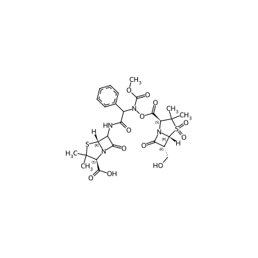 COC(=O)N(OC(=O)[C@@H]1N2C(=O)[C@@H](CO)[C@H]2S(=O)(=O)C1(C)C)C(C(=O)NC1C(=O)N2[C@@H]1SC(C)(C)[C@@H]2C(=O)O)c1ccccc1